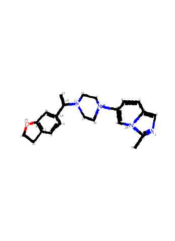 Cc1ncc2ccc(N3CCN(C(C)c4ccc5c(c4)OCC5)CC3)cn12